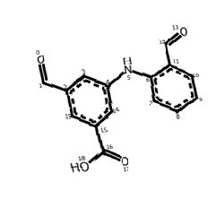 O=Cc1cc(Nc2ccccc2C=O)cc(C(=O)O)c1